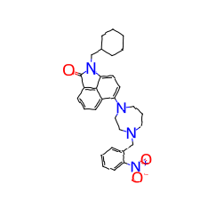 O=C1c2cccc3c(N4CCCN(Cc5ccccc5[N+](=O)[O-])CC4)ccc(c23)N1CC1CCCCC1